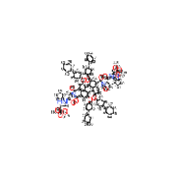 CO[Si](CCNC(=O)C(CC1CCCC1)N1C(=O)c2cc(Oc3ccc(-c4ccccc4)cc3)c3c4c(Oc5ccc(-c6ccccc6)cc5)cc5c6c(cc(Oc7ccc(-c8ccccc8)cc7)c(c7c(Oc8ccc(-c9ccccc9)cc8)cc(c2c37)C1=O)c64)C(=O)N(C(CC1CCCC1)C(=O)NC[Si](OC)(OC)OC)C5=O)(OC)OC